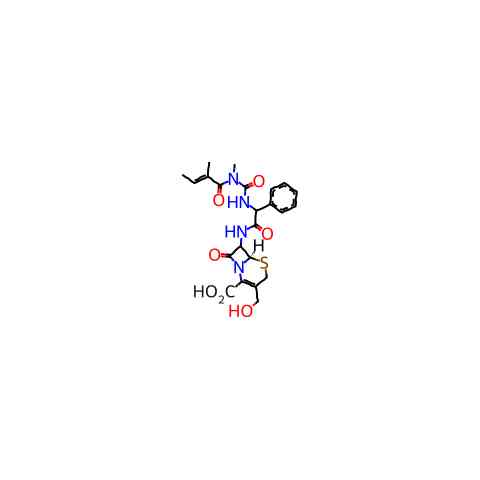 C/C=C(\C)C(=O)N(C)C(=O)NC(C(=O)NC1C(=O)N2C(C(=O)O)=C(CO)CS[C@H]12)c1ccccc1